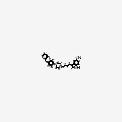 N#Cc1ccc2[nH]cc(CCCCN3CCN(c4ccc(Sc5ccccn5)cc4)CC3)c2c1